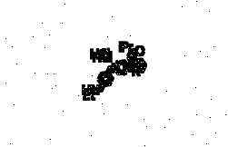 CCNCc1ccc(CN2CCN(c3ncccc3OC(=O)C(C)C)CC2)cc1.Cl.Cl